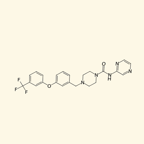 O=C(Nc1cnccn1)N1CCN(Cc2cccc(Oc3cccc(C(F)(F)F)c3)c2)CC1